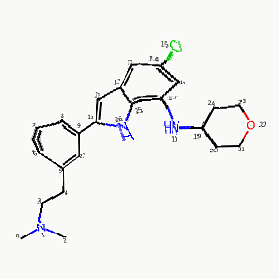 CN(C)CCc1cccc(-c2cc3cc(Cl)cc(NC4CCOCC4)c3[nH]2)c1